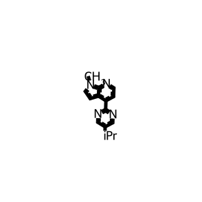 CC(C)c1cnc(-c2ccnc3c2ccn3C)nc1